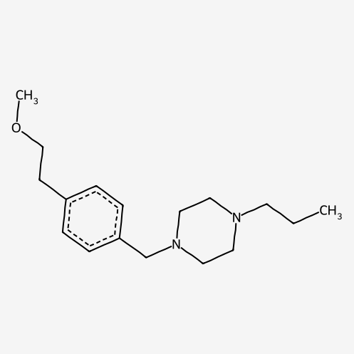 CCCN1CCN(Cc2ccc(CCOC)cc2)CC1